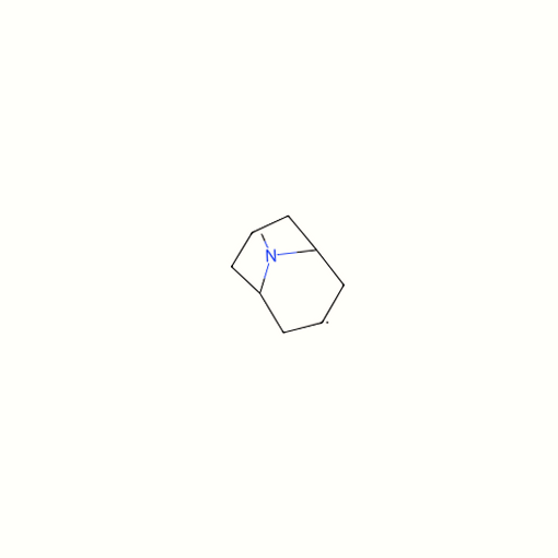 CN1C2C[CH]CC1CCC2